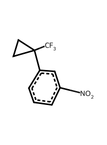 O=[N+]([O-])c1cccc(C2(C(F)(F)F)CC2)c1